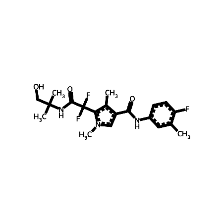 Cc1cc(NC(=O)c2cn(C)c(C(F)(F)C(=O)NC(C)(C)CO)c2C)ccc1F